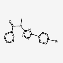 CN(C(=O)c1ccccc1)c1nc(-c2ccc(Br)cc2)cs1